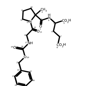 CC1(C(=O)NC(CCC(=O)O)C(=O)O)CCCN1C(=O)CNC(=O)OCc1ccccc1